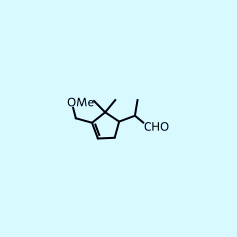 COCC1=CCC(C(C)C=O)C1(C)C